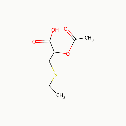 CCSCC(OC(C)=O)C(=O)O